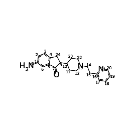 Nc1ccc2c(c1)C(=O)C(C1CCN(CCc3ccccn3)CC1)C2